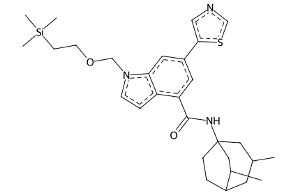 CC1CC2CCC(NC(=O)c3cc(-c4cncs4)cc4c3ccn4COCC[Si](C)(C)C)(C1)CC2C